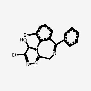 CCC1=NN=C2CN=C(c3ccccc3)c3cccc(Br)c3N2C1O